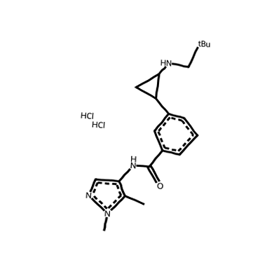 Cc1c(NC(=O)c2cccc(C3CC3NCC(C)(C)C)c2)cnn1C.Cl.Cl